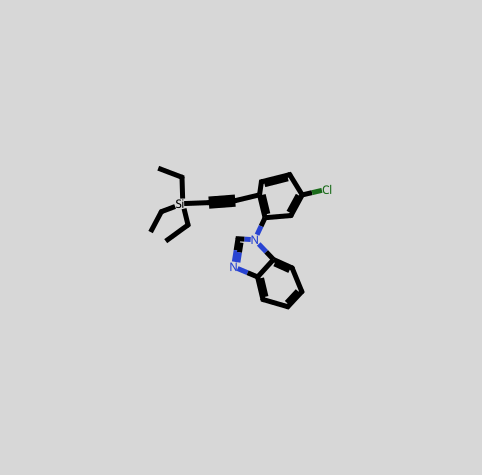 CC[Si](C#Cc1ccc(Cl)cc1-n1cnc2ccccc21)(CC)CC